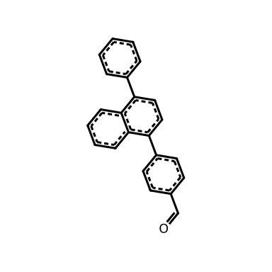 O=Cc1ccc(-c2ccc(-c3ccccc3)c3ccccc23)cc1